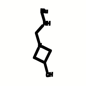 CCC(C)NCN1CC(O)C1